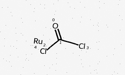 O=C(Cl)Cl.[Ru]